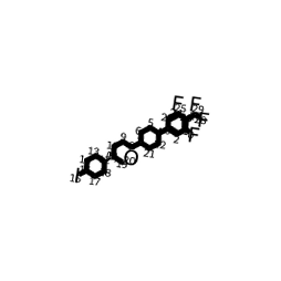 Fc1cc(C2CCC(C3CC[C@@H](C4CCC(I)CC4)CO3)CC2)cc(F)c1C(F)F